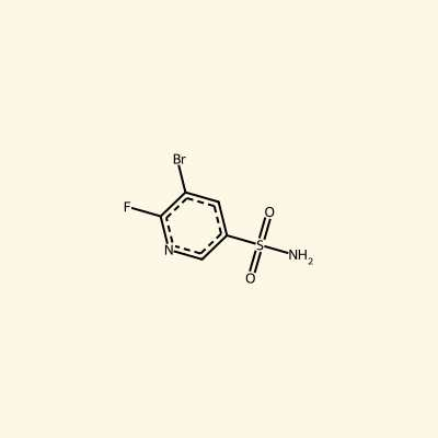 NS(=O)(=O)c1cnc(F)c(Br)c1